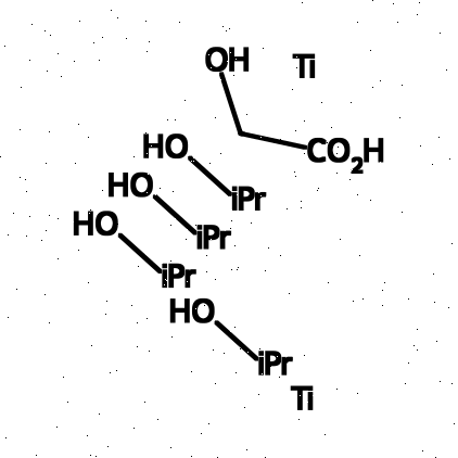 CC(C)O.CC(C)O.CC(C)O.CC(C)O.O=C(O)CO.[Ti].[Ti]